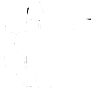 O=C1N([C@H]2CC[C@H](O)CC2)CC[C@@]12CCCN(c1cccc(OC(F)(F)F)c1)C2